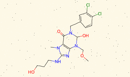 COCN1c2nc(NCCCO)n(C)c2C(=O)N(Cc2ccc(Cl)c(Cl)c2)C1O